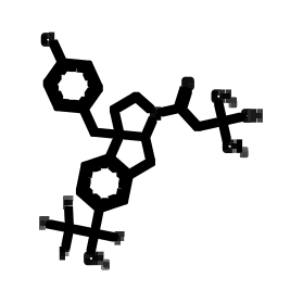 CC(C)(O)CC(=O)N1CCC2(Cc3ccc(Cl)cc3)c3ccc(C(C)(F)C(F)(F)F)cc3CC12